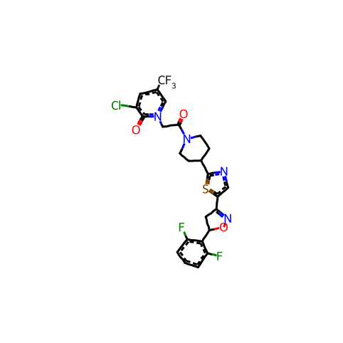 O=C(Cn1cc(C(F)(F)F)cc(Cl)c1=O)N1CCC(c2ncc(C3=NOC(c4c(F)cccc4F)C3)s2)CC1